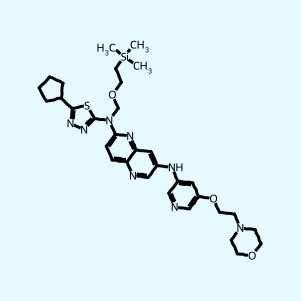 C[Si](C)(C)CCOCN(c1ccc2ncc(Nc3cncc(OCCN4CCOCC4)c3)cc2n1)c1nnc(C2CCCC2)s1